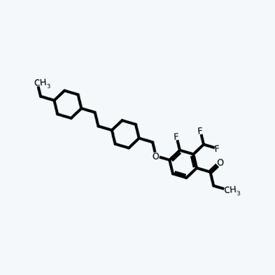 CCC(=O)c1ccc(OCC2CCC(CCC3CCC(CC)CC3)CC2)c(F)c1C(F)F